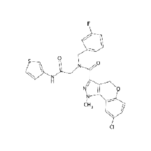 Cn1nc(C(=O)N(CC(=O)Nc2ccsc2)Cc2cccc(F)c2)c2c1-c1cc(Cl)ccc1OC2